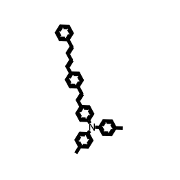 Cc1ccc(N(c2ccc(C)cc2)c2ccc(/C=C/c3ccc(/C=C/C=C/c4ccccc4)cc3)cc2)cc1